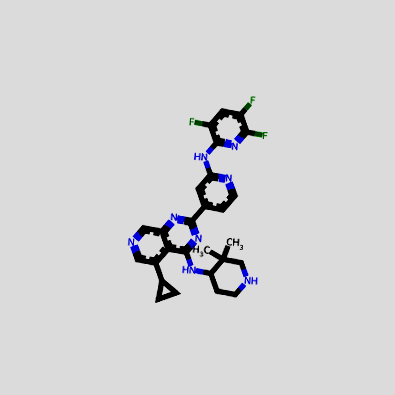 CC1(C)CNCCC1Nc1nc(-c2ccnc(Nc3nc(F)c(F)cc3F)c2)nc2cncc(C3CC3)c12